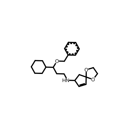 C1=CC2(CC1NCCC(OCc1ccccc1)C1CCCCC1)OCCO2